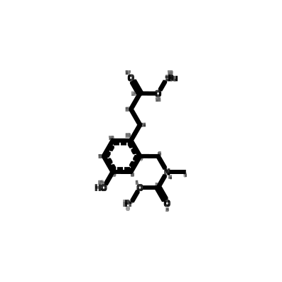 CC(C)OC(=O)N(C)Cc1cc(O)ccc1CCC(=O)OC(C)(C)C